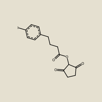 O=C(CCCc1ccc(I)cc1)OC1C(=O)CCC1=O